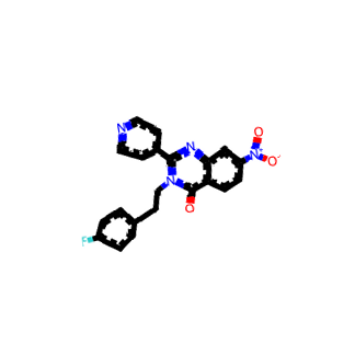 O=c1c2ccc([N+](=O)[O-])cc2nc(-c2ccncc2)n1CCc1ccc(F)cc1